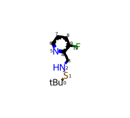 CC(C)(C)SNCc1ncccc1F